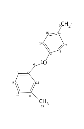 [CH2]c1ccc(OCc2cccc(C)c2)cc1